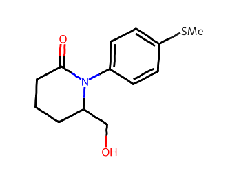 CSc1ccc(N2C(=O)CCCC2CO)cc1